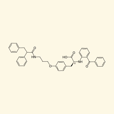 O=C(c1ccccc1)c1ccccc1N[C@@H](Cc1ccc(OCCCNC(=O)C(Cc2ccccc2)c2ccccc2)cc1)C(=O)O